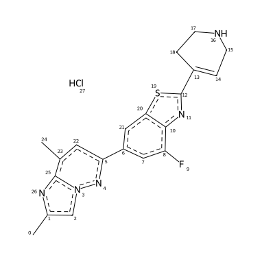 Cc1cn2nc(-c3cc(F)c4nc(C5=CCNCC5)sc4c3)cc(C)c2n1.Cl